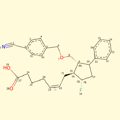 N#Cc1ccc(COC[C@@H]2C(c3ccccc3)C[C@H](F)[C@H]2C/C=C\CCCC(=O)O)cc1